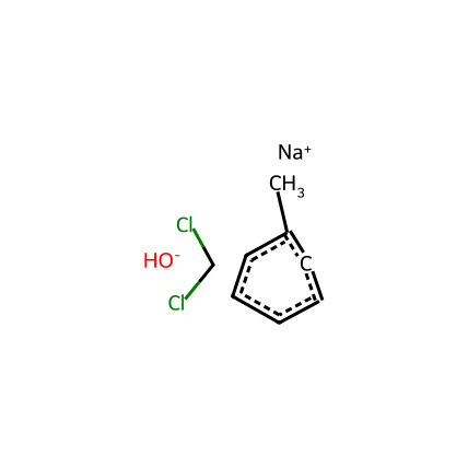 Cc1ccccc1.ClCCl.[Na+].[OH-]